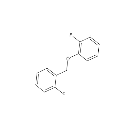 Fc1[c]cccc1OCc1ccccc1F